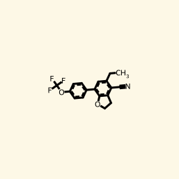 CCc1cc(-c2ccc(OC(F)(F)F)cc2)c2c(c1C#N)CCO2